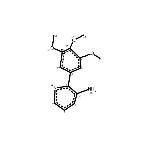 COc1cc(-c2ncccc2N)cc(OC)c1OC